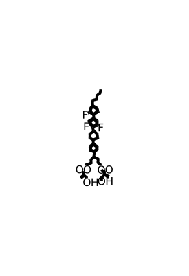 C=C(CO)C(=O)OCCCC(CCCOC(=O)C(=C)CO)c1ccc(C2CCC(c3c(F)cc(-c4ccc(CCCCC)cc4F)cc3F)CC2)cc1